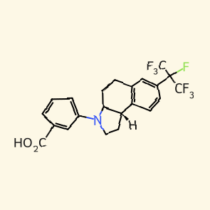 O=C(O)c1cccc(N2CC[C@H]3c4ccc(C(F)(C(F)(F)F)C(F)(F)F)cc4CCC32)c1